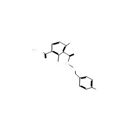 COC(=O)c1ccc(Cl)c(C(=O)NOCc2ccc(Cl)cc2)c1Cl